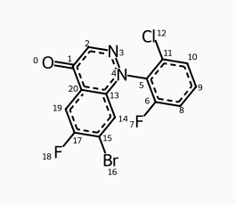 O=c1cnn(-c2c(F)cccc2Cl)c2cc(Br)c(F)cc12